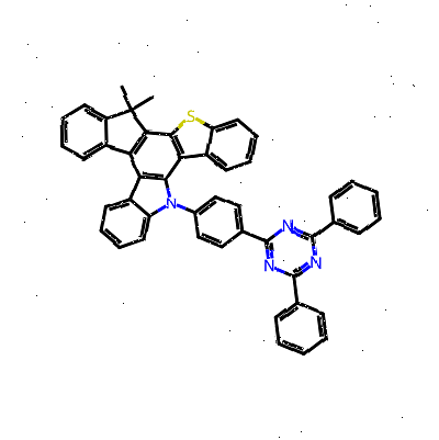 CC1(C)c2ccccc2-c2c1c1sc3ccccc3c1c1c2c2ccccc2n1-c1ccc(-c2nc(-c3ccccc3)nc(-c3ccccc3)n2)cc1